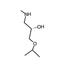 CNC[C@H](O)COC(C)C